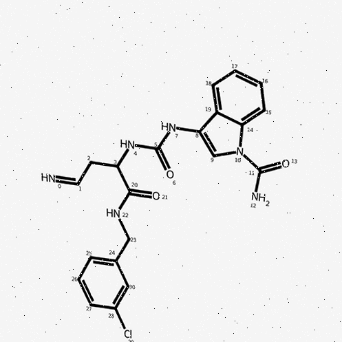 N=CCC(NC(=O)Nc1cn(C(N)=O)c2ccccc12)C(=O)NCc1cccc(Cl)c1